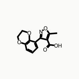 Cc1onc(-c2cccc3c2OCCO3)c1C(=O)O